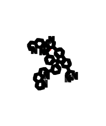 c1cc(-c2ccc3ccc4cccnc4c3n2)cc(C2(c3cccc(-c4ccc5ccc6cccnc6c5n4)c3)c3cc(-c4cncnc4)ccc3-c3ccc(-c4cncnc4)cc32)c1